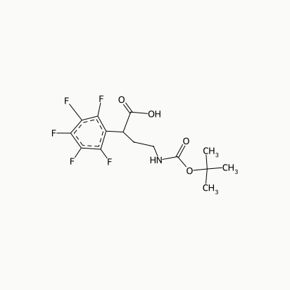 CC(C)(C)OC(=O)NCCC(C(=O)O)c1c(F)c(F)c(F)c(F)c1F